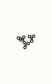 c1ccc(-n2c3ccc(-c4cccc(-n5c6ccccc6c6ccccc65)c4)cc3c3cc(-n4c5ccccc5n5c6ccccc6nc45)ccc32)cc1